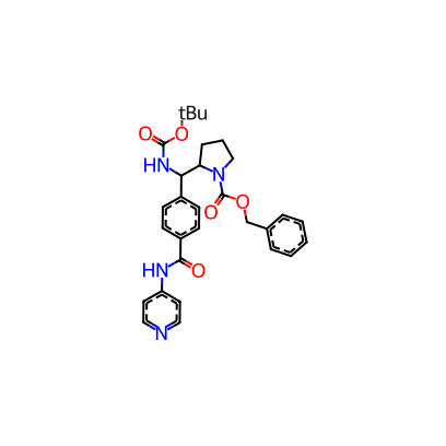 CC(C)(C)OC(=O)NC(c1ccc(C(=O)Nc2ccncc2)cc1)C1CCCN1C(=O)OCc1ccccc1